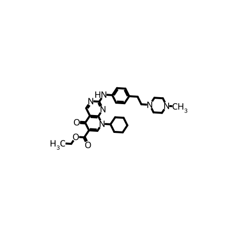 CCOC(=O)c1cn(C2CCCCC2)c2nc(Nc3ccc(CCN4CCN(C)CC4)cc3)ncc2c1=O